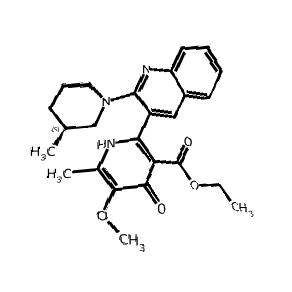 CCOC(=O)c1c(-c2cc3ccccc3nc2N2CCC[C@H](C)C2)[nH]c(C)c(OC)c1=O